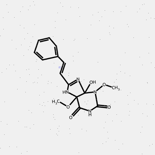 CON1C(=O)NC(=O)C2(OC)NC(/C=C/c3ccccc3)=NC12O